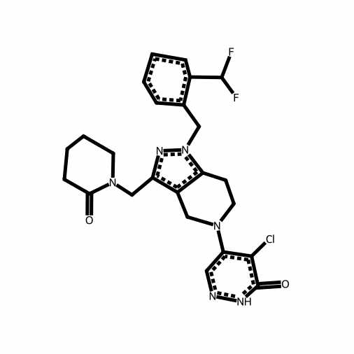 O=C1CCCCN1Cc1nn(Cc2ccccc2C(F)F)c2c1CN(c1cn[nH]c(=O)c1Cl)CC2